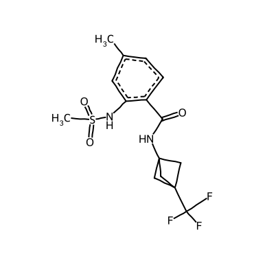 Cc1ccc(C(=O)NC23CC(C(F)(F)F)(C2)C3)c(NS(C)(=O)=O)c1